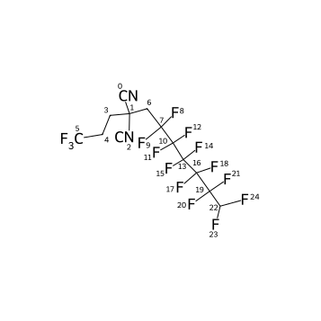 N#CC(C#N)(CCC(F)(F)F)CC(F)(F)C(F)(F)C(F)(F)C(F)(F)C(F)(F)C(F)F